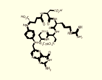 N=C(N)NCCC[C@H](NC(=O)[C@H](CC(=O)O)NC(=O)CC[C@H](Nc1ccc(NCc2cnc3nc(N)[nH]c(=O)c3n2)cc1)C(=O)O)C(=O)N[C@@H](CC(=O)O)C(=O)N[C@H](CS)C(=O)O